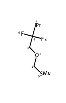 CSCOCC(F)(F)C(C)C